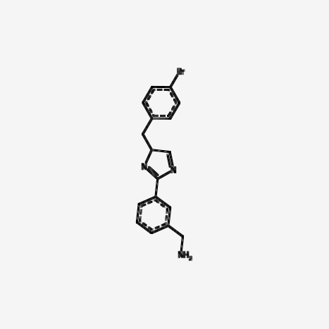 NCc1cccc(C2=NC(Cc3ccc(Br)cc3)C=N2)c1